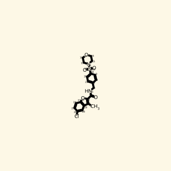 Cc1c(C(=O)NCc2ccc(S(=O)(=O)N3CCOCC3)cc2)oc2ccc(Cl)cc12